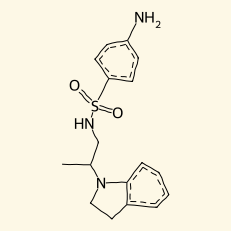 CC(CNS(=O)(=O)c1ccc(N)cc1)N1CCc2ccccc21